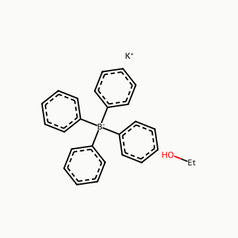 CCO.[K+].c1ccc([B-](c2ccccc2)(c2ccccc2)c2ccccc2)cc1